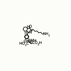 COc1ccc(C2=NN(CCCCCCN)C(=O)[C@@H]3CCCC[C@H]23)cc1OC.O=C(O)C=CC(=O)O